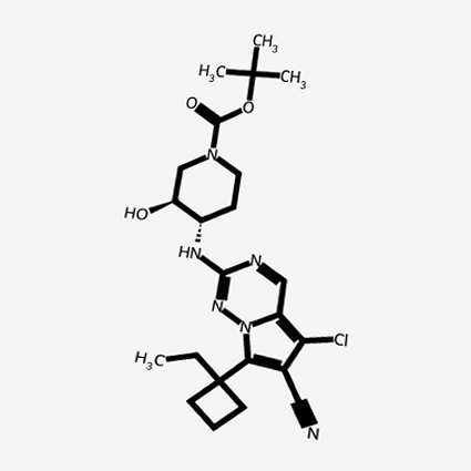 CCC1(c2c(C#N)c(Cl)c3cnc(N[C@H]4CCN(C(=O)OC(C)(C)C)C[C@@H]4O)nn23)CCC1